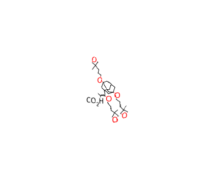 CC(C(=O)O)=C(OCCCC1(C)COC1)C12CC3CC(OCCCC4(C)COC4)(CC(OCCCC4(C)COC4)(C3)C1)C2